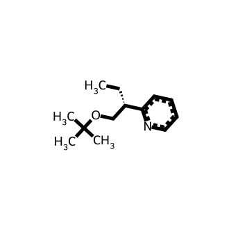 CC[C@@H](COC(C)(C)C)c1ccccn1